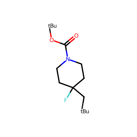 CC(C)(C)CC1(F)CCN(C(=O)OC(C)(C)C)CC1